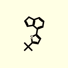 CC(C)(C)c1ccc(-c2cccc3c2C=CC3)s1